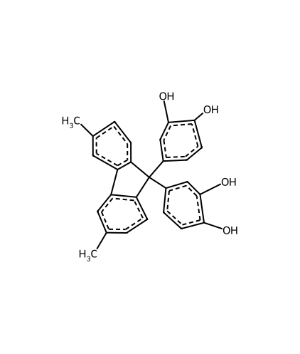 Cc1ccc2c(c1)-c1cc(C)ccc1C2(c1ccc(O)c(O)c1)c1ccc(O)c(O)c1